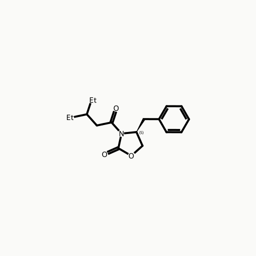 CCC(CC)CC(=O)N1C(=O)OC[C@@H]1Cc1ccccc1